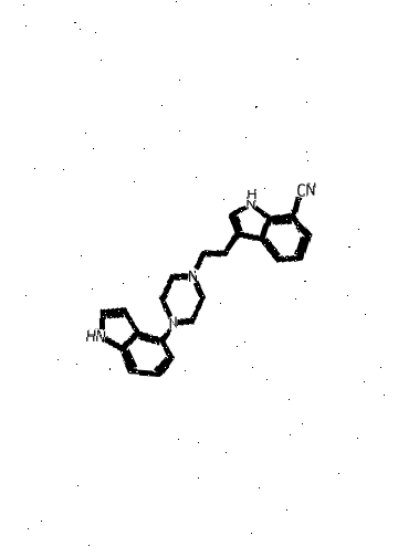 N#Cc1cccc2c(CCN3CCN(c4cccc5[nH]ccc45)CC3)c[nH]c12